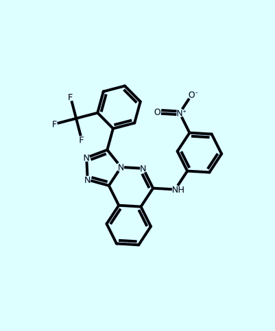 O=[N+]([O-])c1cccc(Nc2nn3c(-c4ccccc4C(F)(F)F)nnc3c3ccccc23)c1